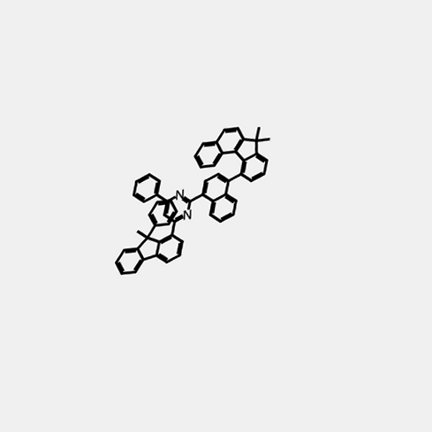 CC1(C)c2cccc(-c3ccc(-c4nc(-c5ccccc5)cc(-c5cccc6c5C(C)(c5ccccc5)c5ccccc5-6)n4)c4ccccc34)c2-c2c1ccc1ccccc21